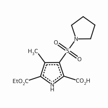 CCOC(=O)c1[nH]c(C(=O)O)c(S(=O)(=O)N2CCCC2)c1C